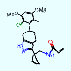 C=CC(=O)NCC1(c2n[nH]c3c2CCC(c2c(C)c(OC)cc(OC)c2Cl)C3)CC1